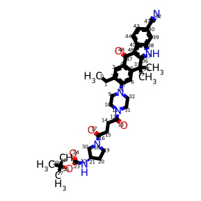 CCc1cc2c(cc1N1CCN(C(=O)CCC(=O)N3CC[C@@H](NC(=O)OC(C)(C)C)C3)CC1)C(C)(C)c1[nH]c3cc(C#N)ccc3c1C2=O